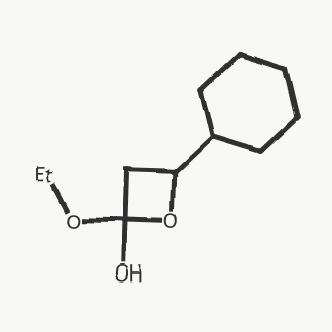 CCOC1(O)CC(C2CCCCC2)O1